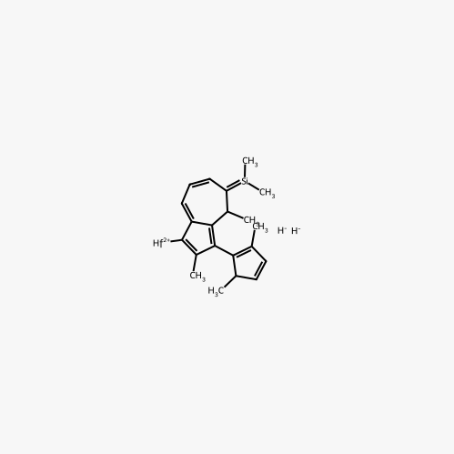 CC1=C(C2=C3C(=CC=CC(=[Si](C)C)C3C)[C]([Hf+2])=C2C)C(C)C=C1.[H-].[H-]